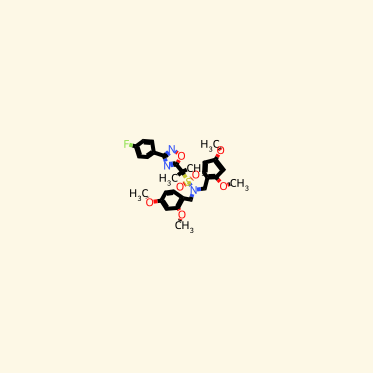 COc1ccc(CN(Cc2ccc(OC)cc2OC)S(=O)(=O)C(C)(C)c2nc(-c3ccc(F)cc3)no2)c(OC)c1